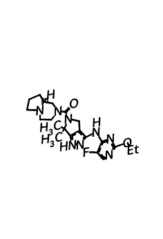 CCOc1ncc(F)c(Nc2n[nH]c3c2CN(C(=O)N2CCN4CCC[C@@H]4C2)C3(C)C)n1